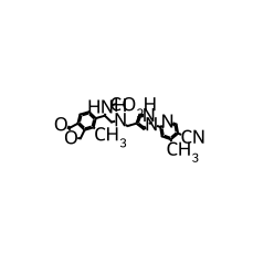 Cc1cc(-n2cc(CNCC(NC(=O)O)c3ccc4c(c3C)COC4=O)cn2)ncc1C#N